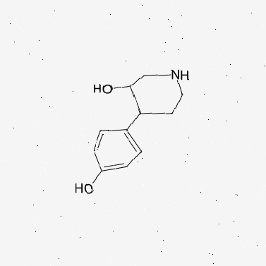 Oc1ccc(C2CCNCC2O)cc1